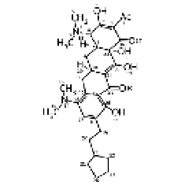 CC(=O)C1=C(O)[C@@H](N(C)C)[C@@H]2C[C@@H]3Cc4c(N(C)C)cc(CCC5CCCC5)c(O)c4C(=O)C3=C(O)[C@]2(O)C1=O